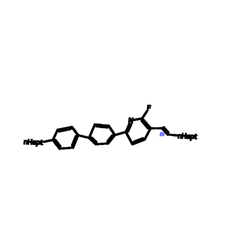 CCCCCCC/C=C/c1ccc(-c2ccc(-c3ccc(CCCCCCC)cc3)cc2)nc1F